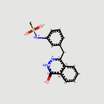 CS(=O)(=O)Nc1cccc(Cc2n[nH]c(=O)c3ccccc23)c1